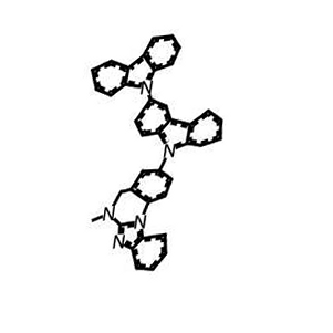 CN1Cc2cc(-n3c4ccccc4c4cc(-n5c6ccccc6c6ccccc65)ccc43)ccc2-n2c1nc1ccccc12